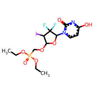 CCOP(=O)(COC1OC(n2ccc(O)nc2=O)C(F)(F)C1I)OCC